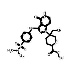 CN(C(C)(C)C)S(=O)(=O)c1ccc(Nc2nn(C3(CC#N)CCC(C(=O)OC(C)(C)C)OC3)c3cc[nH]c(=O)c23)cc1